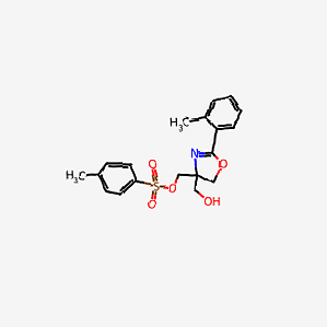 Cc1ccc(S(=O)(=O)OCC2(CO)COC(c3ccccc3C)=N2)cc1